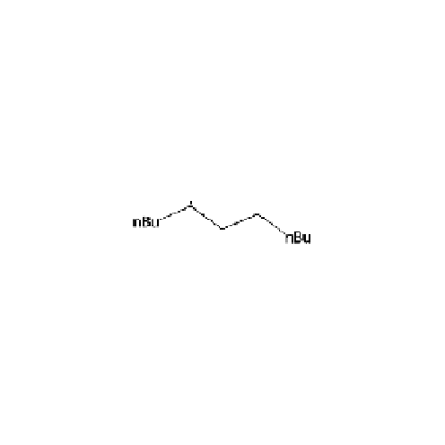 [CH2]CCC[CH]CCCCCC